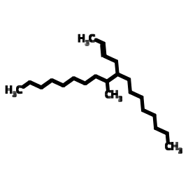 CC=CCC(CCCCCCCC)C(C)CCCCCCCC